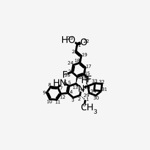 CC[C@@H]1Cc2c([nH]c3ccccc23)[C@@H](c2c(F)cc(/C=C/C(=O)O)cc2F)N1[C@@H]1CCC2CC1C2